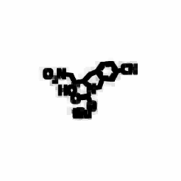 CC(C)(C)OC(=O)N1Cc2cc(C#N)ccc2CC1[C@H](O)C[N+](=O)[O-]